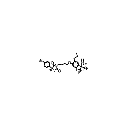 CCCc1cc(C(O)(C(F)(F)F)C(F)(F)F)ccc1OCCCCN1C(=O)NC(C)(c2ccc(Br)cc2)C1=O